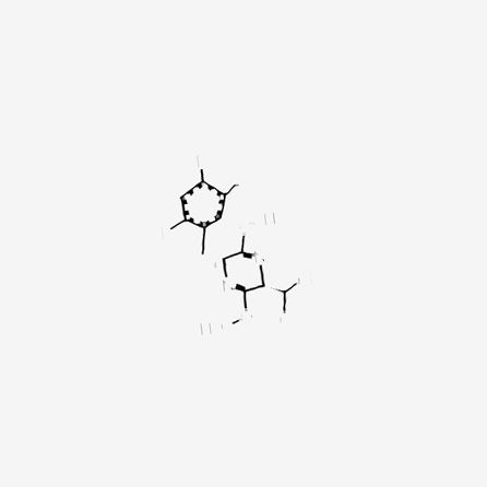 COC1=N[C@H](Cc2cc(F)c(F)cc2F)C(OC)=N[C@H]1C(C)C